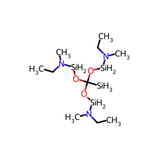 CCN(C)[SiH2]OC([SiH3])(O[SiH2]N(C)CC)O[SiH2]N(C)CC